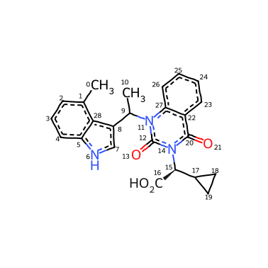 Cc1cccc2[nH]cc(C(C)n3c(=O)n([C@H](C(=O)O)C4CC4)c(=O)c4ccccc43)c12